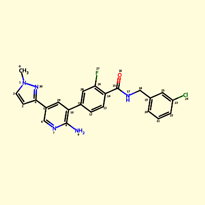 Cn1ccc(-c2cnc(N)c(-c3ccc(C(=O)NCc4cccc(Cl)c4)c(F)c3)c2)n1